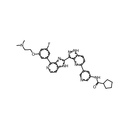 CN(C)CCOc1cc(F)cc(-c2nccc3[nH]c(-c4n[nH]c5ccc(-c6cncc(NC(=O)C7CCCC7)c6)nc45)nc23)c1